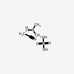 CC#N.CN(C)C.O=S(=O)(O)O